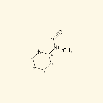 CN(C=O)C1CCCC[N]1